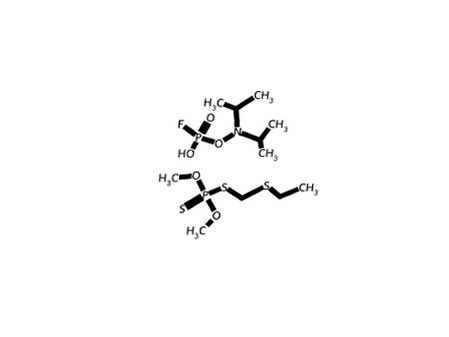 CC(C)N(OP(=O)(O)F)C(C)C.CCSCSP(=S)(OC)OC